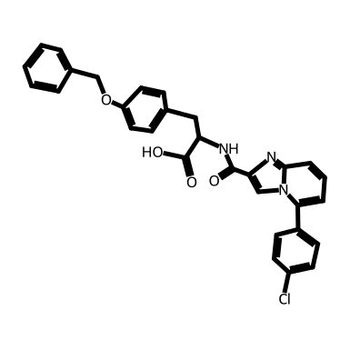 O=C(NC(Cc1ccc(OCc2ccccc2)cc1)C(=O)O)c1cn2c(-c3ccc(Cl)cc3)cccc2n1